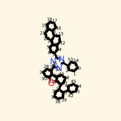 c1ccc(-c2nc(-c3ccc4c(ccc5c6ccccc6ccc45)c3)nc(-c3cccc4oc5c(-c6ccccc6-c6ccccc6)cccc5c34)n2)cc1